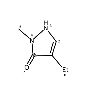 CCc1c[nH]n(C)c1=O